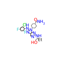 CC[C@@H](CO)Nc1ncc2nc(Nc3c(F)cc(F)cc3Cl)n([C@H]3CC[C@H](C(N)=O)CC3)c2n1